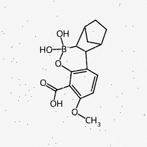 COc1ccc2c(c1C(=O)O)O[B-](O)(O)C1C3CCC(C3)C21